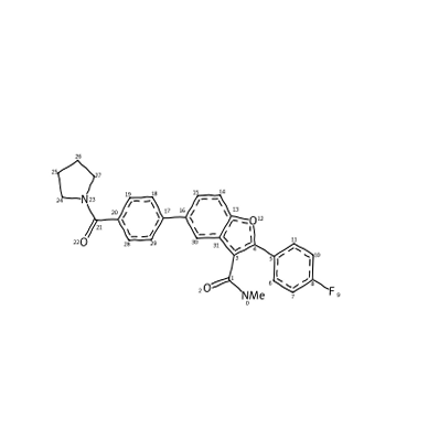 CNC(=O)c1c(-c2ccc(F)cc2)oc2ccc(-c3ccc(C(=O)N4CCCC4)cc3)cc12